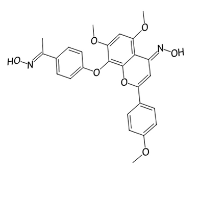 COc1ccc(-c2c/c(=N\O)c3c(OC)cc(OC)c(Oc4ccc(/C(C)=N/O)cc4)c3o2)cc1